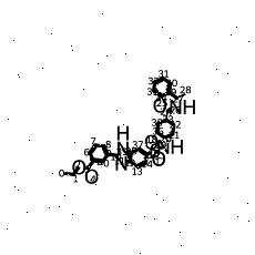 CCOC(=O)c1cccc(-c2nc3ccc(S(=O)(=O)N[C@H]4CC[C@H](C(=O)N[C@H](C)c5ccccc5)CC4)cc3[nH]2)c1